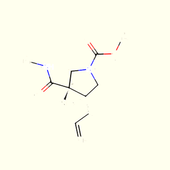 C=CC[C@H]1CN(C(=O)OC(C)(C)C)C[C@@]1(NC(C)=O)C(=O)NC(C)(C)C